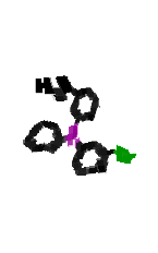 Bc1cccc(P(c2ccccc2)c2cccc(Br)c2)c1